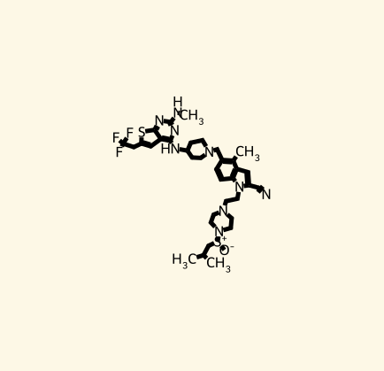 CNc1nc(NC2CCN(Cc3ccc4c(cc(C#N)n4CCN4CCN([S+]([O-])CC(C)C)CC4)c3C)CC2)c2cc(CC(F)(F)F)sc2n1